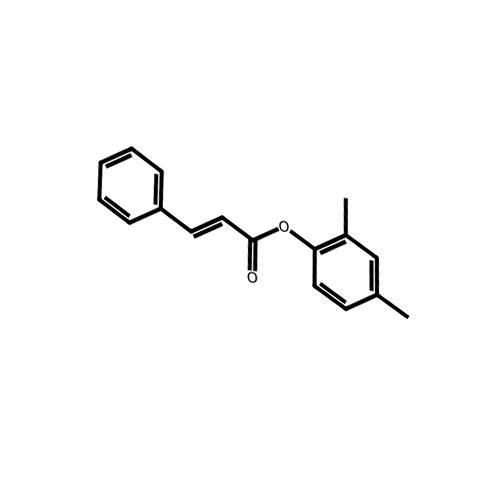 Cc1ccc(OC(=O)C=Cc2ccccc2)c(C)c1